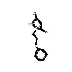 O=c1cc(Cl)[nH]n1CCSc1ccccc1